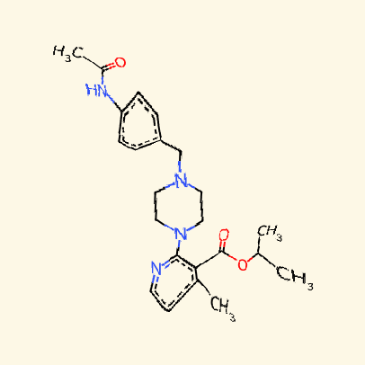 CC(=O)Nc1ccc(CN2CCN(c3nccc(C)c3C(=O)OC(C)C)CC2)cc1